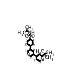 CC(C)NS(=O)(=O)c1ccc(-c2cncc(-c3ccnc(C(C)(C)C)c3)c2)cc1